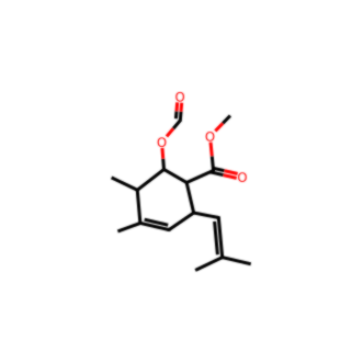 COC(=O)C1C(C=C(C)C)C=C(C)C(C)C1OC=O